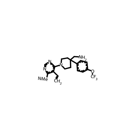 C=Cc1c(NC)ncnc1N1CCC(CN)(c2ccc(OC(F)(F)F)cc2)CC1